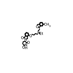 CCN(CCCCOc1cccc2c1CN(C1CCC(=O)NC1=O)C2=O)CC[C@H]1OCc2ccc(C)cc21